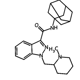 CN1CCCCC1Cn1nc(C(=O)NC23CC4CC(CC(C4)C2)C3)c2ccccc21